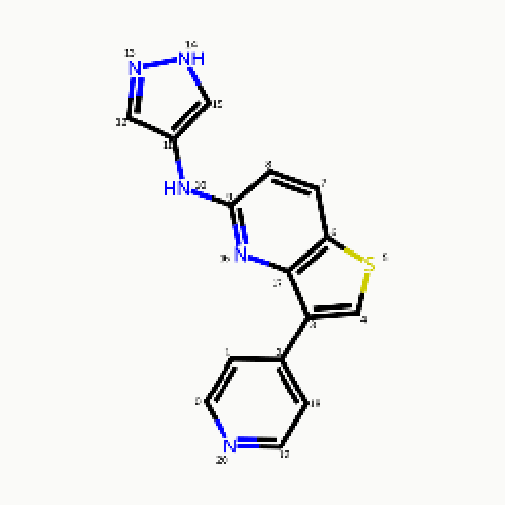 c1cc(-c2csc3ccc(Nc4cn[nH]c4)nc23)ccn1